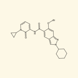 CC(C)Oc1cc2nn(C3CCCCC3)cc2cc1C(=O)Nc1cccn(C2CC2)c1=O